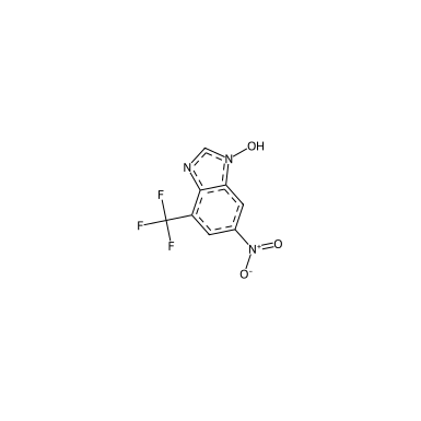 O=[N+]([O-])c1cc(C(F)(F)F)c2ncn(O)c2c1